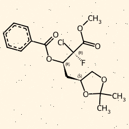 COC(=O)[C@](F)(Cl)[C@@H](C[C@H]1COC(C)(C)O1)OC(=O)c1ccccc1